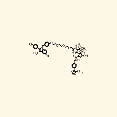 Cc1ncsc1-c1ccc(CNC(=O)[C@@H]2C[C@@H](O)CN2C(=O)C(NC(=O)COCCOCCOCCOc2ccc(Cn3c(-c4ccc(Cl)cc4)c(C)c4cc(O)ccc43)cc2)C(C)(C)C)cc1